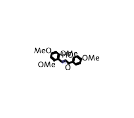 COc1ccc(C(=O)/C=C/c2c(OC)cc(OC)cc2OC)c(O)c1